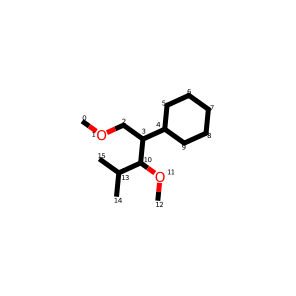 COCC(C1CCCCC1)C(OC)C(C)C